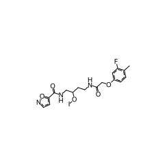 Cc1ccc(OCC(=O)NCCC(CNC(=O)c2ccno2)OI)cc1F